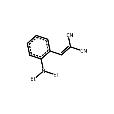 CCN(CC)c1ccccc1C=C(C#N)C#N